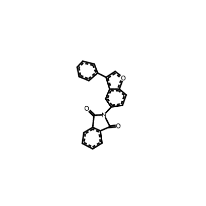 O=C1c2ccccc2C(=O)N1c1ccc2occ(-c3ccccc3)c2c1